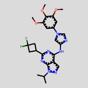 COc1cc(-n2cnc(Nc3nc(C4CC(F)(F)C4)nc4c3cnn4C(C)C)c2)cc(OC)c1OC